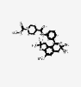 COc1cc2c(c3c1OC(C)(C)C3)C(c1cccc(NC(=O)C3CCN(C(=O)OC(C)(C)C)CC3)c1)=NC(C)(C)C2